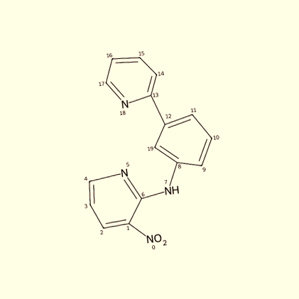 O=[N+]([O-])c1cccnc1Nc1cccc(-c2ccccn2)c1